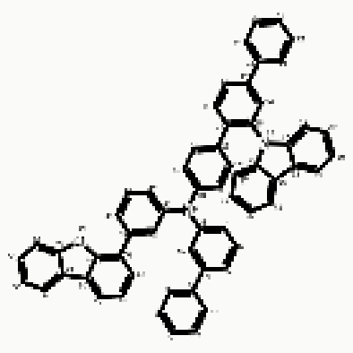 c1ccc(-c2cccc(N(c3ccc(-c4ccc(-c5ccccc5)cc4-n4c5ccccc5c5ccccc54)cc3)c3cccc(-c4cccc5c4oc4ccccc45)c3)c2)cc1